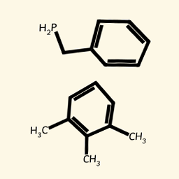 Cc1cccc(C)c1C.PCc1ccccc1